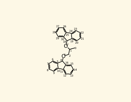 CC(COC1c2ccccc2-c2ccccc21)OC1c2ccccc2-c2ccccc21